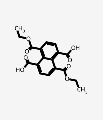 CCOC(=O)c1ccc(C(=O)O)c2c(C(=O)OCC)ccc(C(=O)O)c12